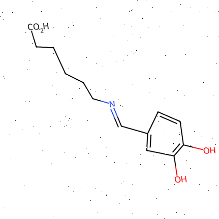 O=C(O)CCCCCN=Cc1ccc(O)c(O)c1